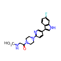 O=C(O)NCC(=O)N1CCN(c2ccc(-c3c[nH]c4cc(F)ccc34)cn2)CC1